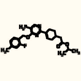 Cc1ccc(COc2nc(C3=CCC(CC(=O)OC(C)C)CC3)ncc2P)c(F)c1